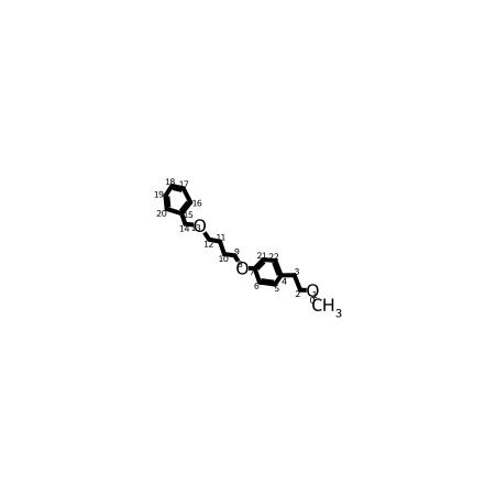 COCCc1ccc(OCCCCOCc2ccccc2)cc1